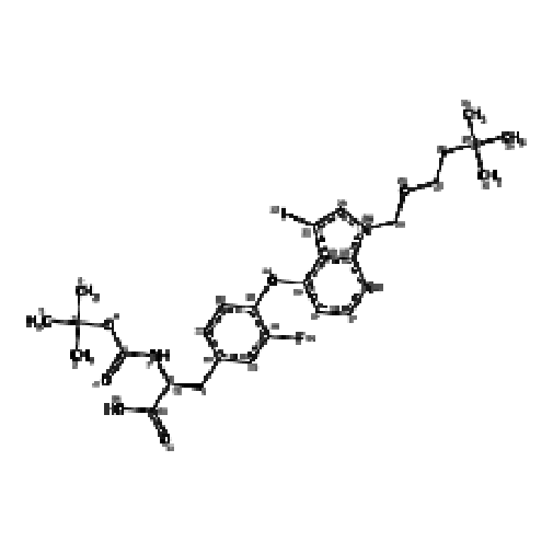 CC(C)(C)OC(=O)N[C@@H](Cc1ccc(Oc2ccnc3c2c(I)cn3COCCS(C)(C)C)c(F)c1)C(=O)O